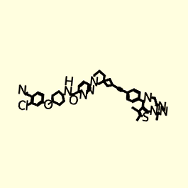 Cc1sc2c(c1C)C(c1ccc(C#CC3CC4(CCCN(c5ccc(C(=O)N[C@H]6CC[C@H](Oc7ccc(C#N)c(Cl)c7)CC6)nn5)C4)C3)cc1)=NCc1nnc(C)n1-2